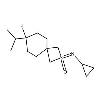 CC(C)C1(F)CCC2(CC1)CS(=O)(=NC1CC1)C2